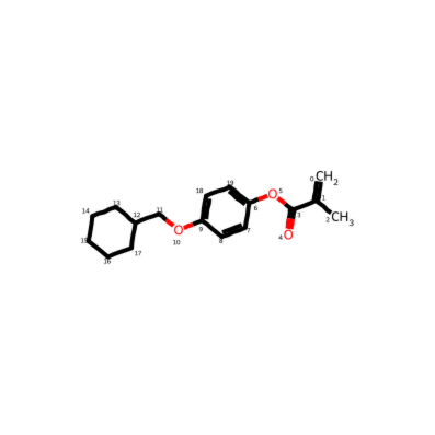 C=C(C)C(=O)Oc1ccc(OCC2CCCCC2)cc1